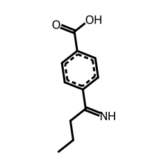 CCCC(=N)c1ccc(C(=O)O)cc1